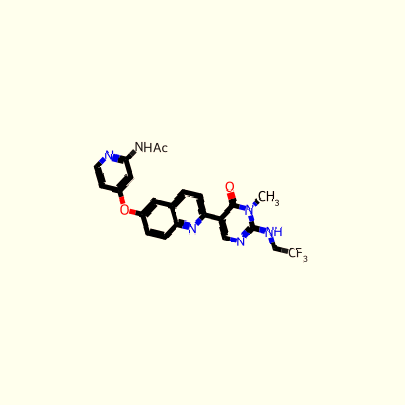 CC(=O)Nc1cc(Oc2ccc3nc(-c4cnc(NCC(F)(F)F)n(C)c4=O)ccc3c2)ccn1